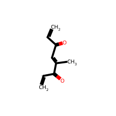 C=[C]C(=O)C(C)=CC(=O)C=C